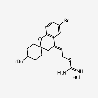 CCCCC1CCC2(CC1)CC(=CCSC(=N)N)c1cc(Br)ccc1O2.Cl